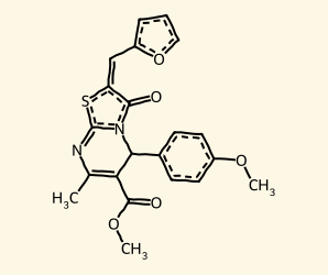 COC(=O)C1=C(C)N=c2s/c(=C/c3ccco3)c(=O)n2C1c1ccc(OC)cc1